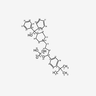 CC(C)(C)c1ccc(C(CCCN2CCC(C(O)(c3ccccc3)c3ccccc3)CC2)OP(=O)(O)O)cc1